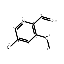 COc1cc(Cl)cnc1C=O